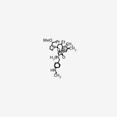 C=CNc1ccc(CN(C)C(C(=O)NCC(=C)N(C)C(C(C)CC)C(CC)CC(=O)N2CCC[C@H]2[C@H](OC)C(C)C)C(C)C)cc1